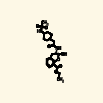 CCOC(=O)c1cccc2c1OB(O)[C@@H](NC(=O)CC1CCC(NS(C)(=O)=O)CC1)C2